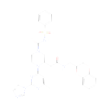 O=C(CC1CN(C(=O)NS(=O)(=O)c2ccccc2)CCN1c1cc(Cl)nc(-n2ccnc2)n1)NCC1COc2ccccc2O1